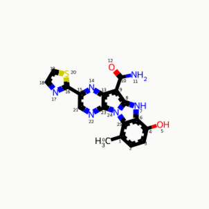 Cc1ccc(O)c2[nH]c3c(C(N)=O)c4nc(-c5nccs5)cnc4n3c12